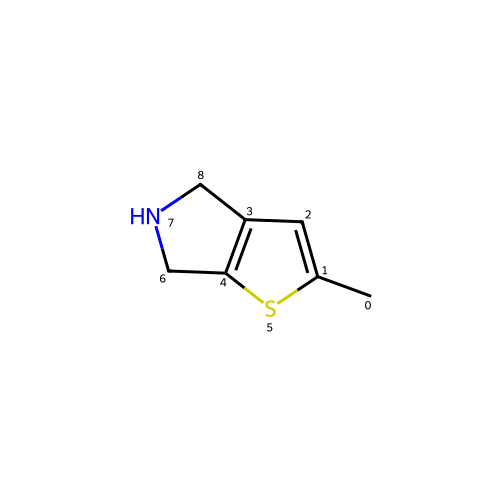 Cc1cc2c(s1)CNC2